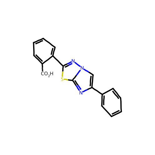 O=C(O)c1ccccc1-c1nn2cc(-c3ccccc3)nc2s1